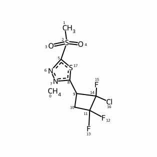 C.CS(=O)(=O)c1nnc(C2CC(F)(F)C2(F)Cl)s1